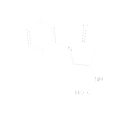 O=C(O)NC1CC(=O)N(c2ccccc2)C1